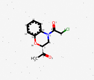 CC(=O)[C@H]1CN(C(=O)CCl)c2ccccc2O1